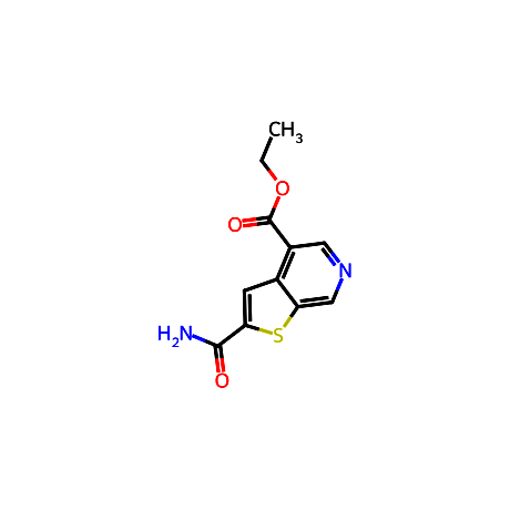 CCOC(=O)c1cncc2sc(C(N)=O)cc12